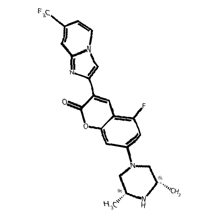 C[C@@H]1CN(c2cc(F)c3cc(-c4cn5ccc(C(F)(F)F)cc5n4)c(=O)oc3c2)C[C@H](C)N1